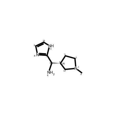 CN1CC[C@@H](C(N)c2ncc[nH]2)C1